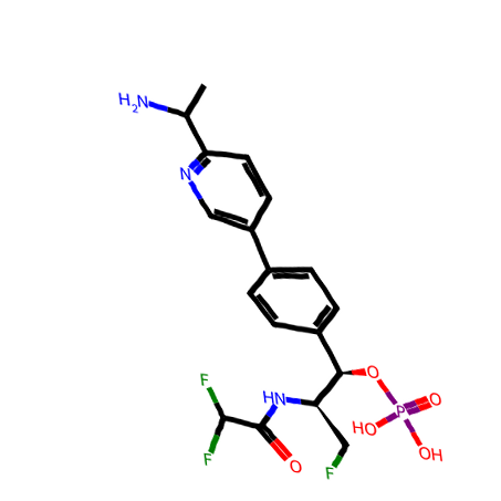 CC(N)c1ccc(-c2ccc([C@@H](OP(=O)(O)O)[C@@H](CF)NC(=O)C(F)F)cc2)cn1